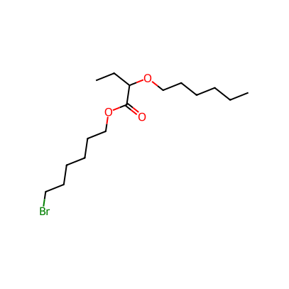 CCCCCCOC(CC)C(=O)OCCCCCCBr